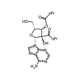 CCCC(=O)O[C@@H]1[C@@H](CO)O[C@@H](n2cnc3c(N)ncnc32)[C@@]1(O)C(=O)CCC